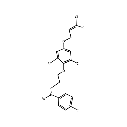 CC(=O)N(CCCOc1c(Cl)cc(OCC=C(Cl)Cl)cc1Cl)c1ccc(Cl)cc1